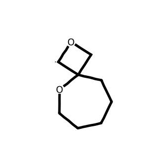 [CH]1OCC12CCCCCO2